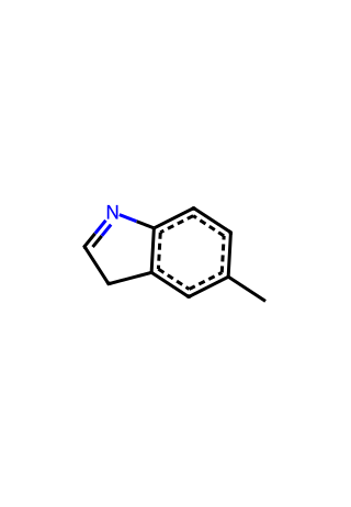 Cc1ccc2c(c1)CC=N2